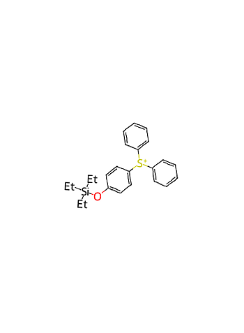 CC[Si](CC)(CC)Oc1ccc([S+](c2ccccc2)c2ccccc2)cc1